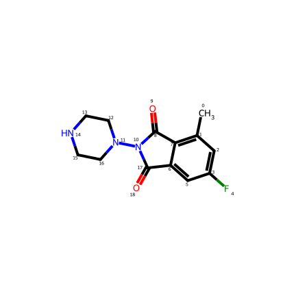 Cc1cc(F)cc2c1C(=O)N(N1CCNCC1)C2=O